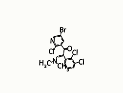 CN(C)C=C(C(=O)c1cc(Br)cnc1Cl)c1cccc(Cl)c1Cl